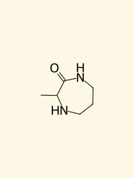 CC1NCCCNC1=O